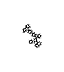 c1ccc(-c2cc(-c3cccc4ccccc34)cc(N(c3ccccc3)c3ccc(-c4ccc(-n5c6ccccc6c6ccccc65)cc4)cc3)c2)cc1